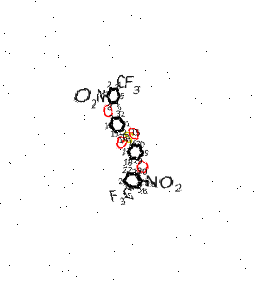 O=[N+]([O-])c1cc(C(F)(F)F)ccc1Oc1ccc(S(=O)(=O)c2ccc(Oc3ccc(C(F)(F)F)cc3[N+](=O)[O-])cc2)cc1